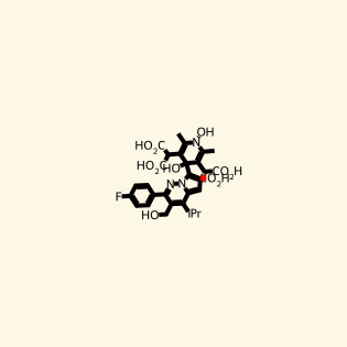 CC1=C(C(C(=O)O)C(=O)O)C(O)(c2ccc3c(C(C)C)c(CO)c(-c4ccc(F)cc4)nn23)C(C(C(=O)O)C(=O)O)=C(C)N1O